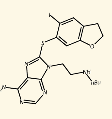 CCCCNCCn1c(Sc2cc3c(cc2I)CCO3)nc2c(N)ncnc21